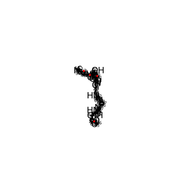 Cc1ccc(C(=O)NCC(=O)Nc2nc(-c3cccc(N4CCC(NCCCCCOc5cc(C(C(=O)N6C[C@H](O)C[C@H]6C(=O)NCc6ccc(-c7scnc7C)cc6)C(C)C)on5)CC4)c3)cs2)cc1S(=O)(=O)C(C)C